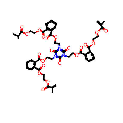 C=C(C)C(=O)OCCOC(=O)c1ccccc1C(=O)OCCn1c(=O)n(CCOC(=O)c2ccccc2C(=O)OCCOC(=O)C(=C)C)c(=O)n(CCOC(=O)c2ccccc2C(=O)OCCOC(=O)C(C)C)c1=O